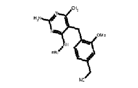 CCCCNc1nc(N)nc(C)c1Cc1ccc(CC#N)cc1OC